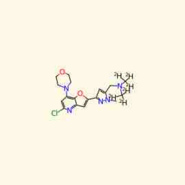 [2H]C([2H])([2H])N(Cc1cc(-c2cc3nc(Cl)cc(N4CCOCC4)c3o2)nn1C)C([2H])([2H])[2H]